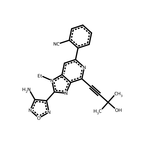 CCn1c(-c2nonc2N)nc2c(C#CC(C)(C)O)nc(-c3ccccc3C#N)cc21